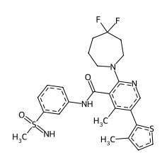 Cc1ccsc1-c1cnc(N2CCCC(F)(F)CC2)c(C(=O)Nc2cccc(S(C)(=N)=O)c2)c1C